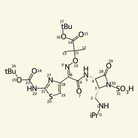 CC(C)NC[C@@H]1[C@H](NC(=O)/C(=N\OC(C)(C)C(=O)OC(C)(C)C)c2csc(NC(=O)OC(C)(C)C)n2)C(=O)N1S(=O)(=O)O